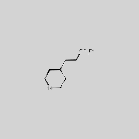 CCOC(=O)CCC1CC[N]CC1